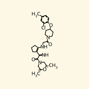 Cc1ccc(OC2CCN(C(=O)CNC3=C(C(=N)C(=O)N4C[C@@H](C)O[C@@H](C)C4)CCC3)CC2)c(Cl)c1